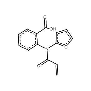 C=CC(=O)N(c1ccco1)c1ccccc1C(=O)O